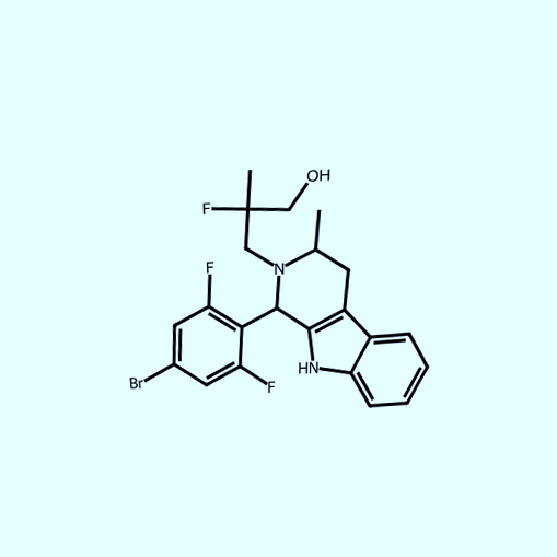 CC1Cc2c([nH]c3ccccc23)C(c2c(F)cc(Br)cc2F)N1CC(C)(F)CO